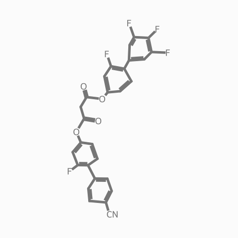 N#Cc1ccc(-c2ccc(OC(=O)CC(=O)Oc3ccc(-c4cc(F)c(F)c(F)c4)c(F)c3)cc2F)cc1